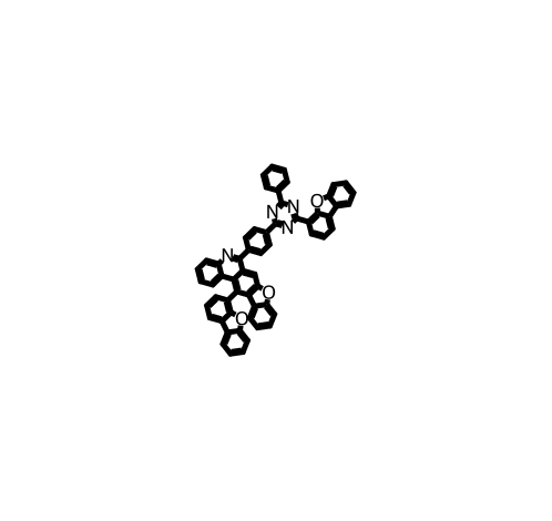 c1ccc(-c2nc(-c3ccc(-c4nc5ccccc5c5c(-c6cccc7c6oc6ccccc67)c6c(cc45)oc4ccccc46)cc3)nc(-c3cccc4c3oc3ccccc34)n2)cc1